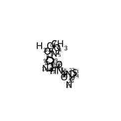 CC1(C)OCCN(c2ccc3nccc(C(=O)NCC(=O)N4CSC[C@H]4C#N)c3c2)C1=O